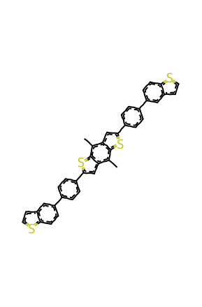 Cc1c2cc(-c3ccc(-c4ccc5sccc5c4)cc3)sc2c(C)c2cc(-c3ccc(-c4ccc5sccc5c4)cc3)sc12